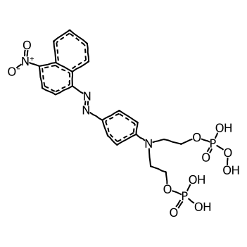 O=[N+]([O-])c1ccc(N=Nc2ccc(N(CCOP(=O)(O)O)CCOP(=O)(O)OO)cc2)c2ccccc12